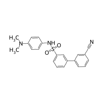 CN(C)c1ccc(NS(=O)(=O)c2cccc(-c3cccc(C#N)c3)c2)cc1